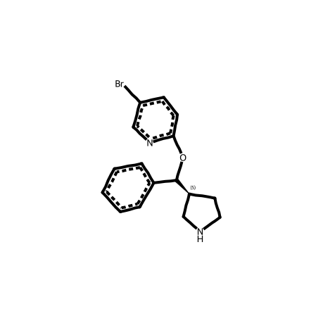 Brc1ccc(OC(c2ccccc2)[C@H]2CCNC2)nc1